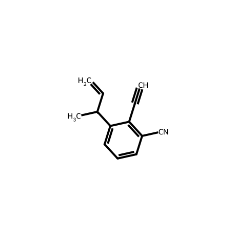 C#Cc1c(C#N)cccc1[C](C)C=C